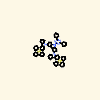 c1ccc(-c2nc(-c3ccccc3)nc(-n3c4ccc(-n5c6ccccc6c6cc(S(c7ccccc7)(c7ccccc7)c7ccccc7)ccc65)cc4c4cc(-n5c6ccccc6c6cc(S(c7ccccc7)(c7ccccc7)c7ccccc7)ccc65)ccc43)n2)cc1